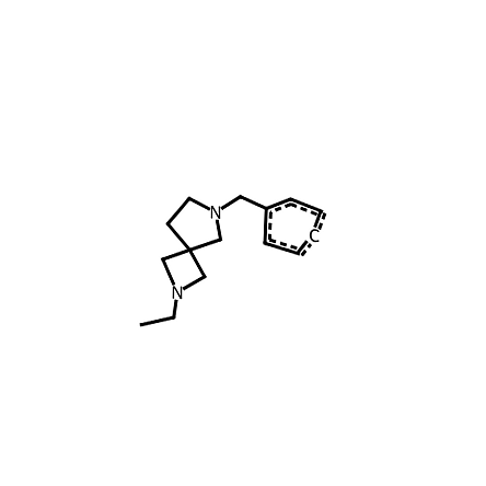 CCN1CC2(CCN(Cc3ccccc3)C2)C1